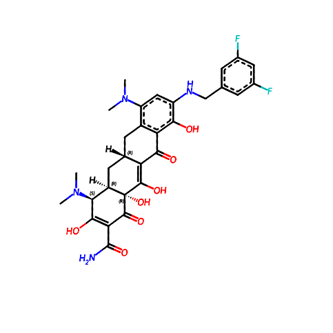 CN(C)c1cc(NCc2cc(F)cc(F)c2)c(O)c2c1C[C@H]1C[C@@H]3[C@H](N(C)C)C(O)=C(C(N)=O)C(=O)[C@]3(O)C(O)=C1C2=O